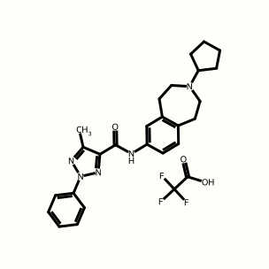 Cc1nn(-c2ccccc2)nc1C(=O)Nc1ccc2c(c1)CCN(C1CCCC1)CC2.O=C(O)C(F)(F)F